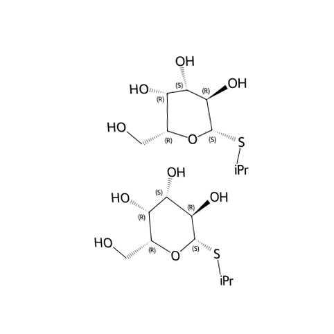 CC(C)S[C@@H]1O[C@H](CO)[C@H](O)[C@H](O)[C@H]1O.CC(C)S[C@@H]1O[C@H](CO)[C@H](O)[C@H](O)[C@H]1O